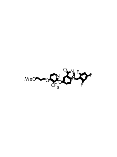 COCCCOc1ccnc(Oc2ccc3c(c2)c(=O)ncn3Cc2c(F)cc(F)cc2F)c1C(F)(F)F